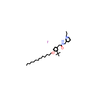 CCCCCCCCCCCCCCOc1ccc(CC(=O)NCc2ccc[n+](CCC)c2)cc1C(C)(C)C.[I-]